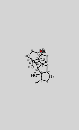 C[C@@H]1COC2CC34C5C[C@@H](C(C)(C)C)C36C(OC[C@@H]6O)O[C@@]4(C(=O)O5)[C@]21O